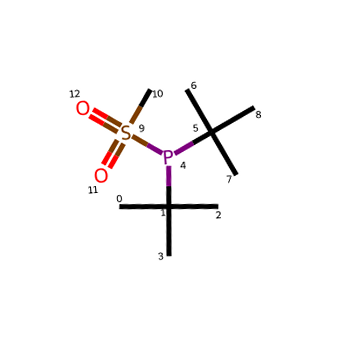 CC(C)(C)P(C(C)(C)C)S(C)(=O)=O